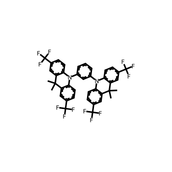 CC1(C)c2cc(C(F)(F)F)ccc2N(c2cccc(N3c4ccc(C(F)(F)F)cc4C(C)(C)c4cc(C(F)(F)F)ccc43)c2)c2ccc(C(F)(F)F)cc21